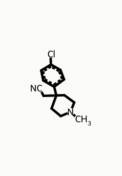 CN1CCC(CC#N)(c2ccc(Cl)cc2)CC1